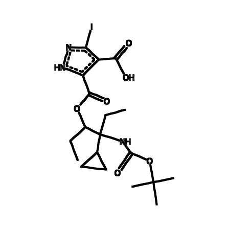 CCC(OC(=O)c1[nH]nc(I)c1C(=O)O)C(CC)(NC(=O)OC(C)(C)C)C1CC1